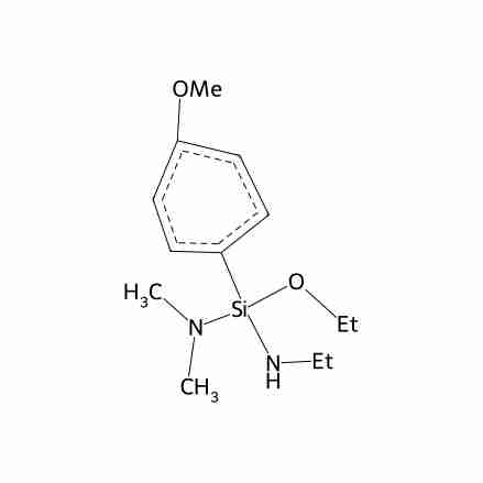 CCN[Si](OCC)(c1ccc(OC)cc1)N(C)C